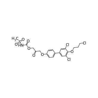 CS(=O)(=O)NC(=O)OCC(=O)COc1ccc(-c2cc(Cl)c(OCCCCl)c(Cl)c2)cc1